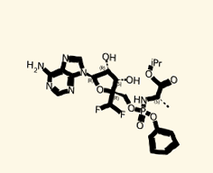 CC(C)OC(=O)[C@H](C)NP(=O)(OC[C@@]1(C(F)F)O[C@@H](n2cnc3c(N)ncnc32)[C@H](O)[C@@H]1O)Oc1ccccc1